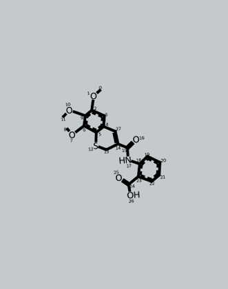 COc1cc2c(c(OC)c1OC)SCC(C(=O)Nc1ccccc1C(=O)O)=C2